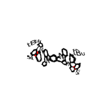 CC(C)(C)c1ccc(N(c2ccccc2)c2ccc3c4cc5c(cc4n4c6ccccc6c2c34)c2ccc(N(c3ccccc3)c3ccc(C(C)(C)C)cc3-c3ccc([Si](C)(C)C)cc3)c3c4ccccc4n5c23)c(-c2ccc([Si](C)(C)C)cc2)c1